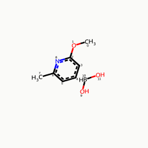 COc1cccc(C)n1.OBO